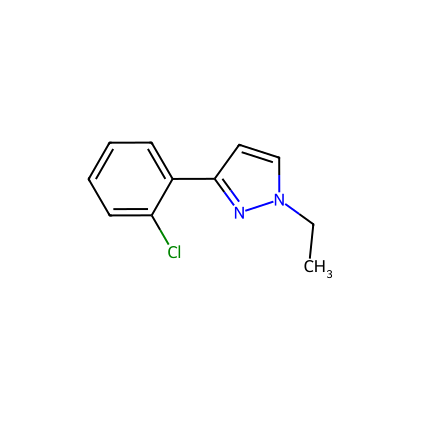 CCn1ccc(-c2ccccc2Cl)n1